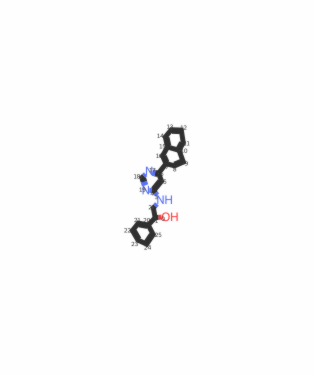 OC(CNc1cc(-c2ccc3ccccc3c2)ncn1)c1ccccc1